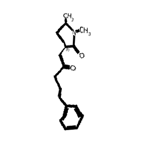 CC1C[C@H](CC(=O)CCCc2ccccc2)C(=O)N1C